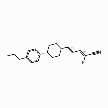 CCCc1ccc([C@H]2CC[C@H](/C=C/C=C(\F)C#N)CC2)cc1